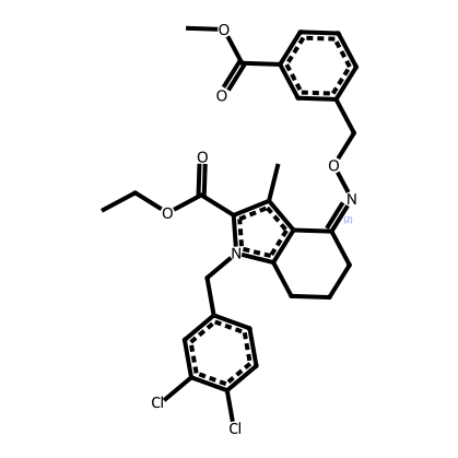 CCOC(=O)c1c(C)c2c(n1Cc1ccc(Cl)c(Cl)c1)CCC/C2=N/OCc1cccc(C(=O)OC)c1